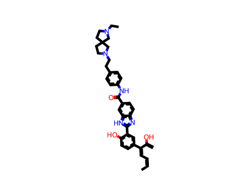 C=C(O)/C(=C\C=C/C)c1ccc(O)c(-c2nc3ccc(C(=O)Nc4ccc(CCN5CCC6(CCN(CC)C6)C5)cc4)cc3[nH]2)c1